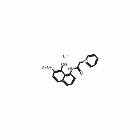 CC(=O)Nc1ccc2cccc(NC(=O)C[n+]3ccccc3)c2c1O.[Cl-]